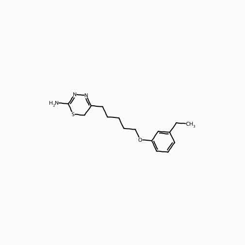 CCc1cccc(OCCCCCC2=NN=C(N)SC2)c1